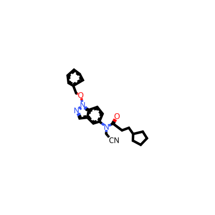 N#CCN(C(=O)CCC1CCCC1)c1ccc2c(cnn2OCc2ccccc2)c1